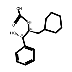 O=C(O)N[C@@H](CC1CCCCC1)[C@@H](O)c1ccccc1